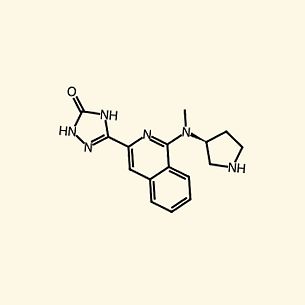 CN(c1nc(-c2n[nH]c(=O)[nH]2)cc2ccccc12)[C@H]1CCNC1